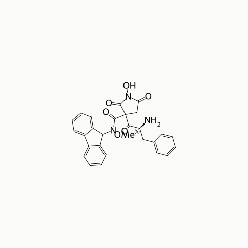 CON(C(=O)C1(C(=O)[C@@H](N)Cc2ccccc2)CC(=O)N(O)C1=O)C1c2ccccc2-c2ccccc21